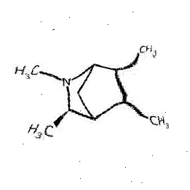 CC1C(C)C2CC1[C@@H](C)N2C